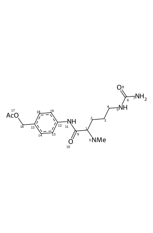 CNC(CCCNC(N)=O)C(=O)Nc1ccc(COC(C)=O)cc1